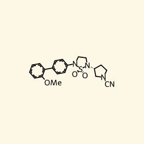 COc1ccccc1-c1ccc(N2CCN([C@@H]3CCN(C#N)C3)S2(=O)=O)cc1